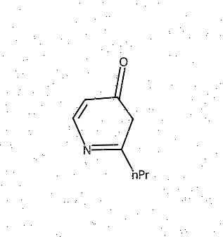 CCCC1=NC=CC(=O)C1